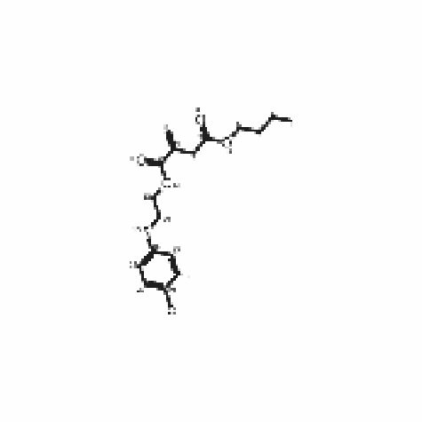 C=C(CC(=O)OCCCC)C(=O)OCCSc1ccc(C)cc1